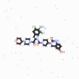 Nc1c(Cl)cc(C[C@@H](NC(=O)N2CCC(N3Cc4cc(O)ccc4NC3=O)CC2)C(=O)N2CCN(C3CCOCC3)CC2)cc1Cl